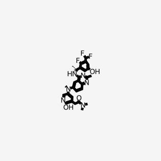 Cc1nc(N[C@H](C)c2cc(O)cc(C(F)F)c2F)c2cc(N(C)c3cnc(O)c(CC(=O)N(C)C)c3)ccc2n1